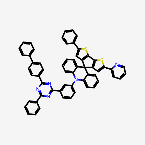 c1ccc(-c2ccc(-c3nc(-c4ccccc4)nc(-c4cccc(N5c6ccccc6C6(c7ccccc75)c5cc(-c7ccccc7)sc5-c5sc(-c7ccccn7)cc56)c4)n3)cc2)cc1